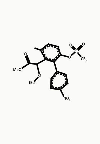 COC(=O)C(OC(C)(C)C)c1c(C)ccc(OS(=O)(=O)C(F)(F)F)c1-c1ccc([N+](=O)[O-])cc1